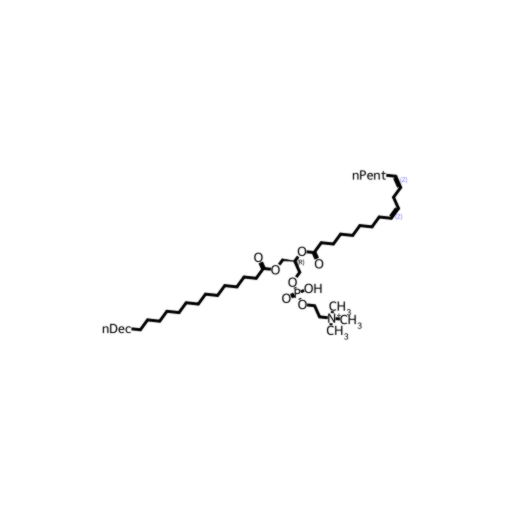 CCCCC/C=C\C/C=C\CCCCCCCC(=O)O[C@H](COC(=O)CCCCCCCCCCCCCCCCCCCCCCC)COP(=O)(O)OCC[N+](C)(C)C